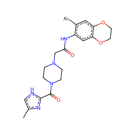 CC(=O)c1cc2c(cc1NC(=O)CN1CCN(C(=O)c3nc(C)c[nH]3)CC1)OCCO2